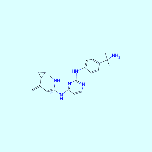 C=C(/C=C(\NC)Nc1ccnc(Nc2ccc(C(C)(C)N)cc2)n1)C1CC1